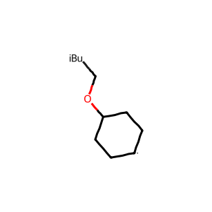 CCC(C)COC1CC[CH]CC1